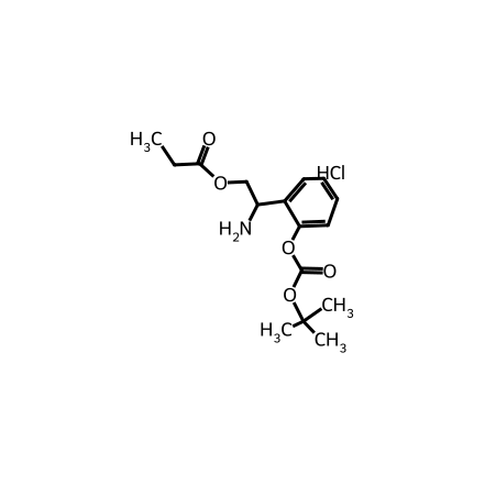 CCC(=O)OCC(N)c1ccccc1OC(=O)OC(C)(C)C.Cl